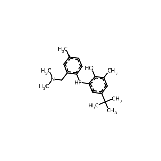 Cc1ccc(Pc2cc(C(C)(C)C)cc(C)c2O)c(CN(C)C)c1